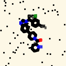 Cc1ccc(C(C)n2cnc3ccc(C4=CCN(C(=O)[C@H]5CCCCN5)CC4)cc32)c(Cl)c1